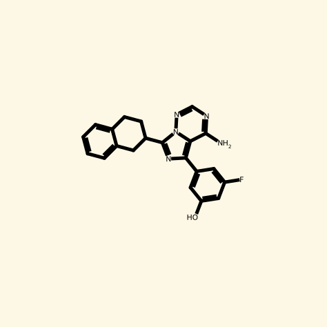 Nc1ncnn2c(C3CCc4ccccc4C3)nc(-c3cc(O)cc(F)c3)c12